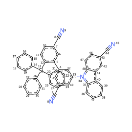 N#Cc1cc(-c2cc(C#N)ccc2[Si](c2ccccc2)(c2ccccc2)c2ccccc2)cc(-n2c3ccccc3c3cc(C#N)ccc32)c1